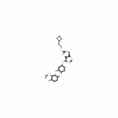 C/C=N\c1cc(Oc2ccc(Nc3ncnc4cnc(NCCC5CCC5)nc34)cc2C)ccc1C